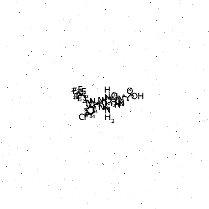 C[C@]1(c2cn(CCC(=O)O)nn2)C(=O)Nc2nc(-c3nn(CCC(F)(F)C(F)(F)F)c4cc(Cl)ccc34)nc(N)c21